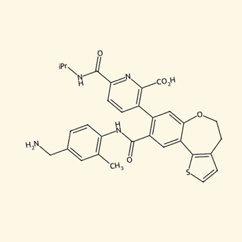 Cc1cc(CN)ccc1NC(=O)c1cc2c(cc1-c1ccc(C(=O)NC(C)C)nc1C(=O)O)OCCc1ccsc1-2